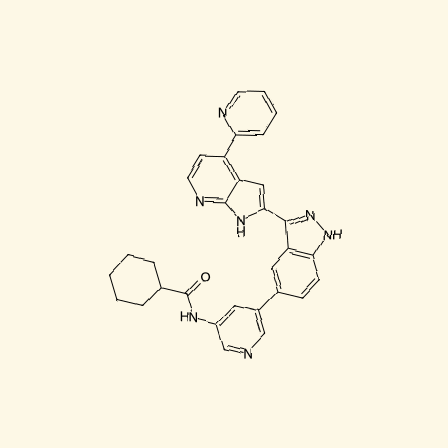 O=C(Nc1cncc(-c2ccc3[nH]nc(-c4cc5c(-c6ccccn6)ccnc5[nH]4)c3c2)c1)C1CCCCC1